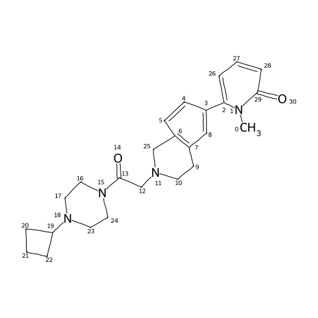 Cn1c(-c2ccc3c(c2)CCN(CC(=O)N2CCN(C4CCC4)CC2)C3)cccc1=O